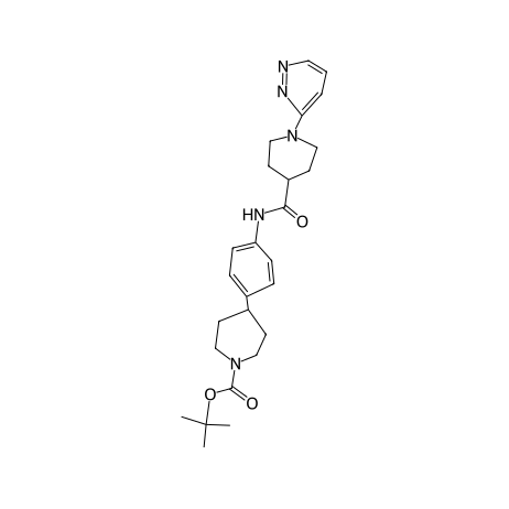 CC(C)(C)OC(=O)N1CCC(c2ccc(NC(=O)C3CCN(c4cccnn4)CC3)cc2)CC1